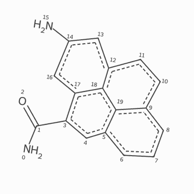 NC(=O)c1cc2cccc3ccc4cc(N)cc1c4c32